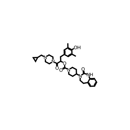 Cc1cc(CC(OC(=O)N2CCC(N3CCc4ccccc4NC3=O)CC2)C(=O)N2CCN(CC3CC3)CC2)cc(C)c1O